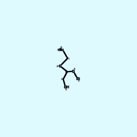 CCCCCOC(CO)OCC